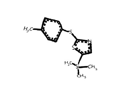 Cc1ccc(Sc2ncc([Si](C)(C)C)s2)cc1